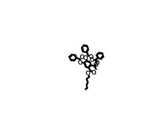 CCCCCCOC(=O)c1cc(OC(=O)c2ccccc2)c(OC(=O)c2ccccc2)c(OC(=O)c2ccccc2)c1C(C)=O